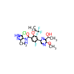 COc1ncc(-c2cc(O[C@@H](C)C(F)(F)F)c(C(=O)Nc3c(C)n[nH]c3Cl)cc2F)nc1C(C)O